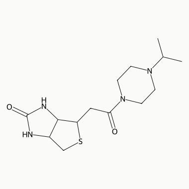 CC(C)N1CCN(C(=O)CC2SCC3NC(=O)NC32)CC1